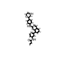 C=CC(=O)Nc1ccnc(-c2cccc3cnc(Nc4ccc(C5CNCCO5)cc4)nc23)c1